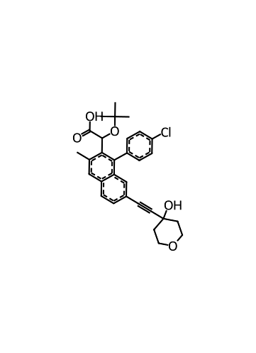 Cc1cc2ccc(C#CC3(O)CCOCC3)cc2c(-c2ccc(Cl)cc2)c1C(OC(C)(C)C)C(=O)O